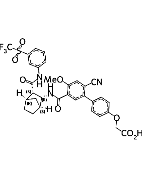 COc1cc(C#N)c(-c2ccc(OCC(=O)O)cc2)cc1C(=O)N[C@@H]1[C@H]2CC[C@H](C2)[C@@H]1C(=O)Nc1cccc(S(=O)(=O)C(F)(F)F)c1